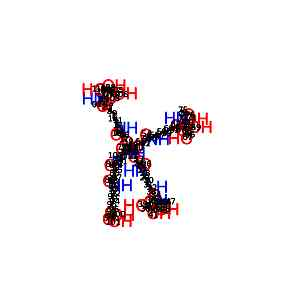 CC(=O)NC1C(OCCCCCCNC(=O)CCOCC(COCCC(=O)NCCCCCCOC2OC(CO)C(O)C(O)C2NC(C)=O)(COCCC(=O)NCCCCCCOC2OC(CO)C(O)C(O)C2NC(C)=O)NC(=O)C2CN(C(=O)CCCC(=O)NCCCCCCOP(=O)(O)O)C2)OC(CO)C(O)C1O